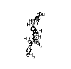 Cc1[nH]c(C=C2C(=O)Nc3cc(NC(=O)Nc4cc(C(C)(C)C)on4)ccc32)c(C)c1NC(=O)CCN1CCN(C)CC1